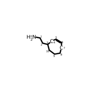 NCCC1C/C=C\CCCC1